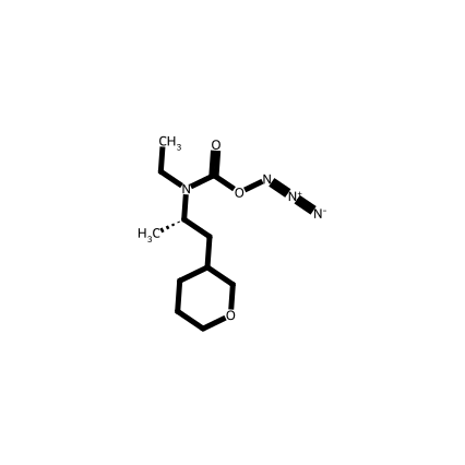 CCN(C(=O)ON=[N+]=[N-])[C@@H](C)CC1CCCOC1